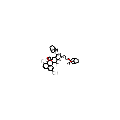 N=S1(=O)CC2CCC(C1)C2CCCOc1nc(N2CC3CCC(C2)N3)c2cc(Cl)c(-c3cc(O)cc4ccc(F)c(C56CC(C5)C6)c34)c(F)c2n1